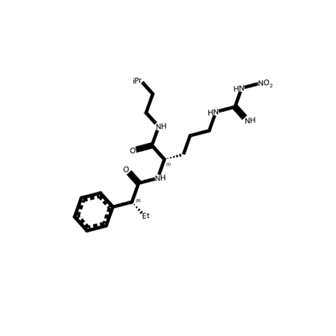 CC[C@@H](C(=O)N[C@@H](CCCNC(=N)N[N+](=O)[O-])C(=O)N[CH]CC(C)C)c1ccccc1